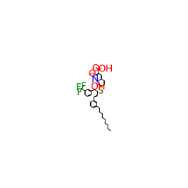 CCCCCCCCCc1cccc(C=C[C@H](Sc2ccc3cc(C(=O)O)c(OC)nc3c2)[C@@H](O)c2cccc(C(F)(F)F)c2)c1